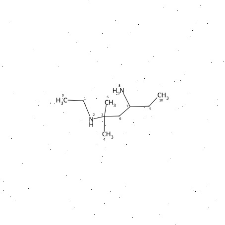 CCNC(C)(C)CC(N)CC